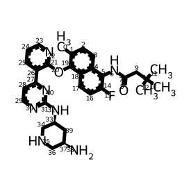 Cc1ccc2c(NC(=O)CC(C)(C)C)c(F)ccc2c1Oc1ncccc1-c1ccnc(N[C@@H]2CNC[C@H](N)C2)n1